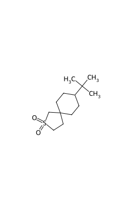 CC(C)(C)C1CCC2(CC1)CCS(=O)(=O)C2